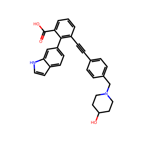 O=C(O)c1cccc(C#Cc2ccc(CN3CCC(O)CC3)cc2)c1-c1ccc2cc[nH]c2c1